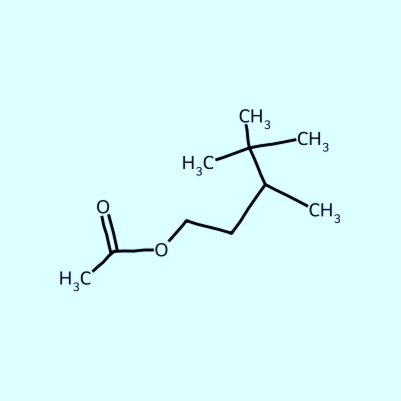 CC(=O)OCCC(C)C(C)(C)C